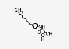 CCCCCCCCCCc1ccc(NC(=O)CC(C)O)cc1